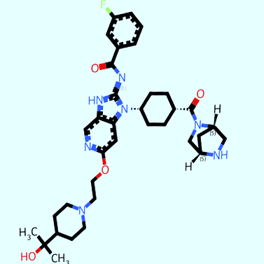 CC(C)(O)C1CCN(CCOc2cc3c(cn2)[nH]/c(=N\C(=O)c2cccc(F)c2)n3[C@H]2CC[C@@H](C(=O)N3C[C@@H]4C[C@H]3CN4)CC2)CC1